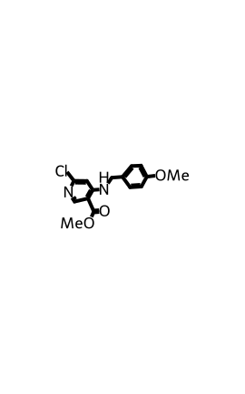 COC(=O)c1cnc(Cl)cc1NCc1ccc(OC)cc1